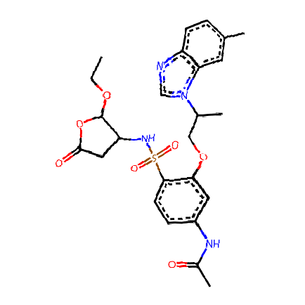 CCOC1OC(=O)CC1NS(=O)(=O)c1ccc(NC(C)=O)cc1OCC(C)n1cnc2ccc(C)cc21